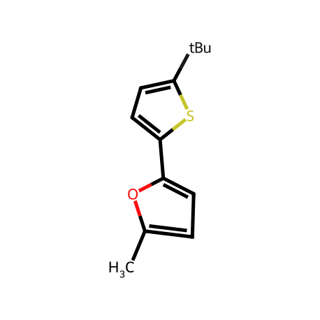 Cc1ccc(-c2ccc(C(C)(C)C)s2)o1